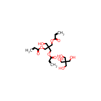 C=CC(=O)OCC(CO)(COC(=O)C=C)COC(=O)C=C.OCC(CO)(CO)CO